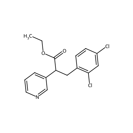 CCOC(=O)C(Cc1ccc(Cl)cc1Cl)c1cccnc1